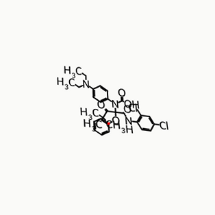 CCN(CC)c1ccc(N(C(=O)O)C(Oc2ccccc2)(C(=O)Nc2ccc(Cl)cc2Cl)C(=O)C(C)(C)C)cc1